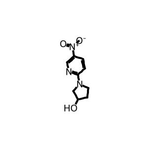 O=[N+]([O-])c1ccc(N2CCC(O)C2)nc1